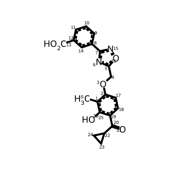 Cc1c(OCc2nc(-c3cccc(C(=O)O)c3)no2)ccc(C(=O)C2CC2)c1O